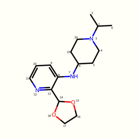 CC(C)N1CCC(Nc2cccnc2C2OCCO2)CC1